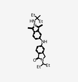 C=c1c2ccc(Nc3ccc4c(c3)CN(C(CC)CC)C4=O)cc2c(=C)n1NC(C)(CC)CC